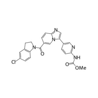 COC(=O)Nc1ccc(-c2cnc3ccc(C(=O)N4CCc5cc(Cl)ccc54)cn23)cn1